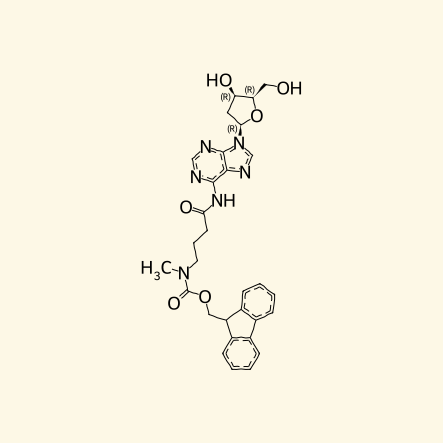 CN(CCCC(=O)Nc1ncnc2c1ncn2[C@H]1C[C@@H](O)[C@@H](CO)O1)C(=O)OCC1c2ccccc2-c2ccccc21